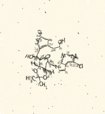 CC1(C)O[C@H]2[C@@H](O1)[C@H](n1ccc3c(Cl)ncnc31)O[C@@H]2[C@@H](O)c1sc(Cl)cc1CCO